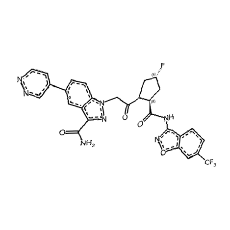 NC(=O)c1nn(CC(=O)C2C[C@H](F)C[C@H]2C(=O)Nc2noc3cc(C(F)(F)F)ccc23)c2ccc(-c3ccnnc3)cc12